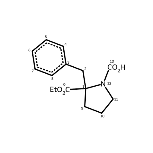 CCOC(=O)C1(Cc2ccccc2)CCCN1C(=O)O